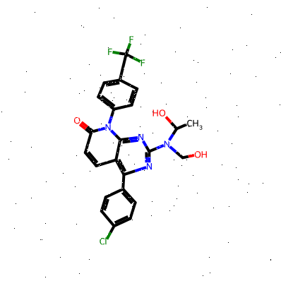 CC(O)N(CO)c1nc(-c2ccc(Cl)cc2)c2ccc(=O)n(-c3ccc(C(F)(F)F)cc3)c2n1